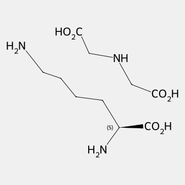 NCCCC[C@H](N)C(=O)O.O=C(O)CNCC(=O)O